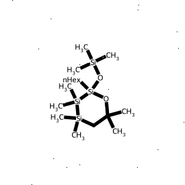 CCCCCC[Si]1(O[Si](C)(C)C)OC(C)(C)C[Si](C)(C)[Si]1(C)C